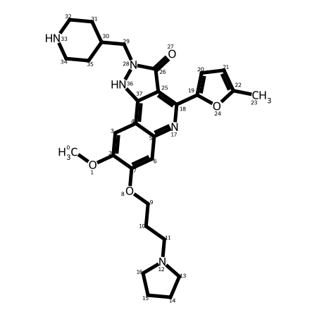 COc1cc2c(cc1OCCCN1CCCC1)nc(-c1ccc(C)o1)c1c(=O)n(CC3CCNCC3)[nH]c12